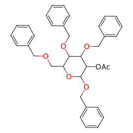 CC(=O)OC1C(OCc2ccccc2)OC(COCc2ccccc2)C(OCc2ccccc2)C1OCc1ccccc1